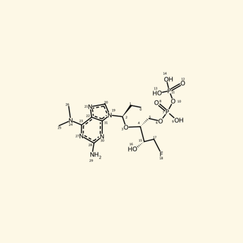 CC[C@@H](O[C@H](COP(=O)(O)OP(=O)(O)O)[C@@H](O)CF)n1cnc2c(N(C)C)nc(N)nc21